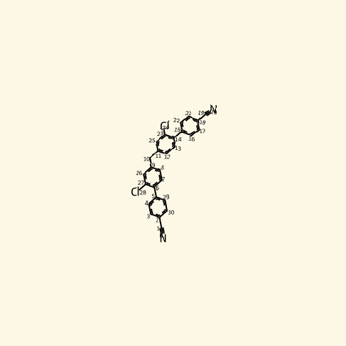 N#Cc1ccc(-c2ccc(Cc3ccc(-c4ccc(C#N)cc4)c(Cl)c3)cc2Cl)cc1